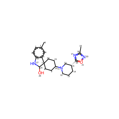 Cc1ccc2c(c1)C1(CCC(N3CCC[C@@H](c4nc(C)no4)C3)CC1)C(O)N2